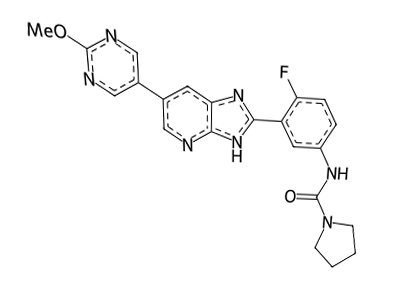 COc1ncc(-c2cnc3[nH]c(-c4cc(NC(=O)N5CCCC5)ccc4F)nc3c2)cn1